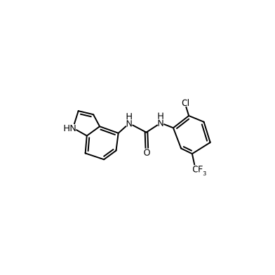 O=C(Nc1cc(C(F)(F)F)ccc1Cl)Nc1cccc2[nH]ccc12